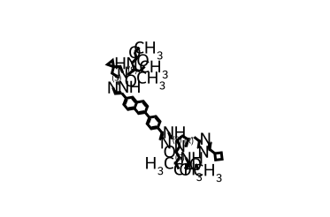 COC(=O)N[C@H](C(=O)N1C[C@@H](Cc2cnc(C3CCC3)cn2)C[C@H]1c1ncc(-c2ccc(-c3ccc4cc(-c5cnc([C@@H]6CC7(CC7)CN6C(=O)[C@@H](NC(=O)OC)C(C)C)[nH]5)ccc4c3)cc2)[nH]1)C(C)C